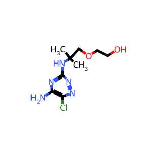 CC(C)(COCCO)Nc1nnc(Cl)c(N)n1